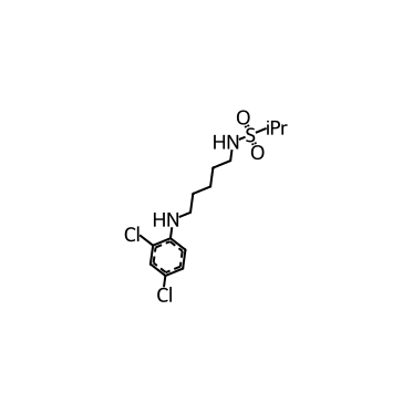 CC(C)S(=O)(=O)NCCCCCNc1ccc(Cl)cc1Cl